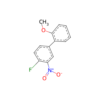 COc1ccccc1-c1ccc(F)c([N+](=O)[O-])c1